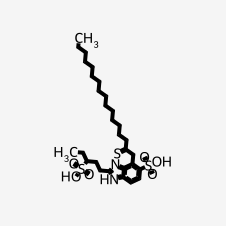 CCCCCCCCCCCCCCCC(=S)Cc1c(S(=O)(=O)O)ccc2[nH]c(CCC(CC)S(=O)(=O)O)nc12